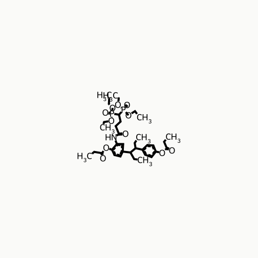 CCOP(=O)(OCC)C(CCC(=O)Nc1cc(C(CC)C(CC)c2ccc(OC(=O)CC)cc2)ccc1OC(=O)CC)P(=O)(OCC)OCC